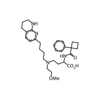 COCCN(CCCCc1ccc2c(n1)NCCC2)CCC(NC(=O)C1(c2ccccc2)CCC1)C(=O)O